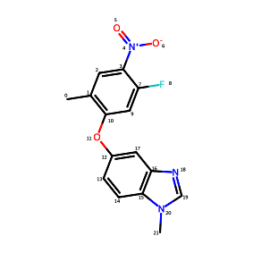 Cc1cc([N+](=O)[O-])c(F)cc1Oc1ccc2c(c1)ncn2C